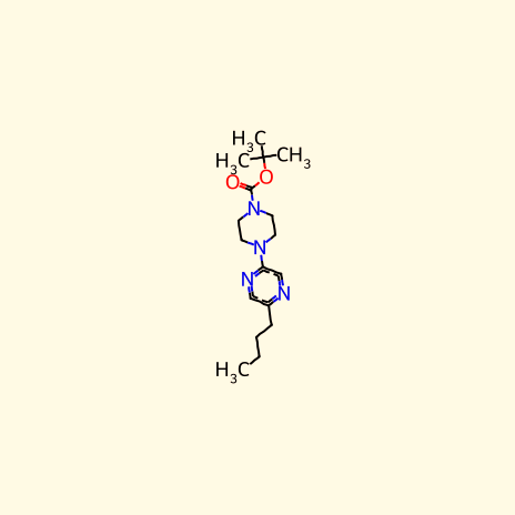 CCCCc1cnc(N2CCN(C(=O)OC(C)(C)C)CC2)cn1